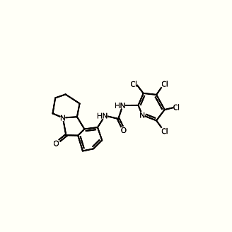 O=C(Nc1cccc2c1C1CCCCN1C2=O)Nc1nc(Cl)c(Cl)c(Cl)c1Cl